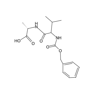 CC(C)C(NC(=O)OCc1ccccc1)C(=O)N[C@@H](C)C(=O)O